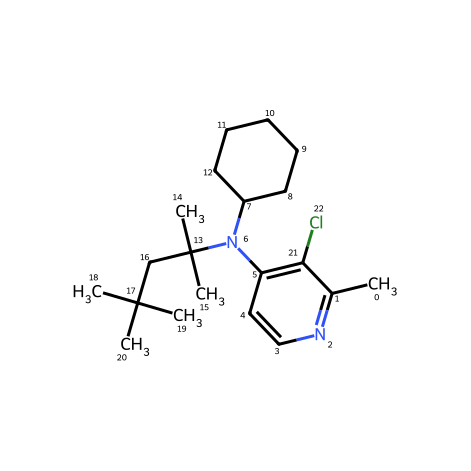 Cc1nccc(N(C2CCCCC2)C(C)(C)CC(C)(C)C)c1Cl